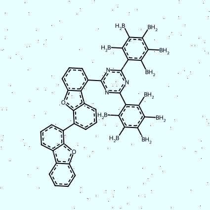 Bc1c(B)c(B)c(-c2nc(-c3c(B)c(B)c(B)c(B)c3B)nc(-c3cccc4oc5c(-c6cccc7c6oc6ccccc67)cccc5c34)n2)c(B)c1B